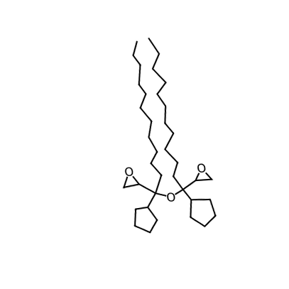 CCCCCCCCCCCC(OC(CCCCCCCCCCC)(C1CCCC1)C1CO1)(C1CCCC1)C1CO1